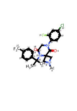 CC(=O)N1CC2(C1)C(=O)N(c1ccc(Cl)cc1F)CC(=O)N2C(C)([SiH3])c1ccc(C(F)(F)F)cc1